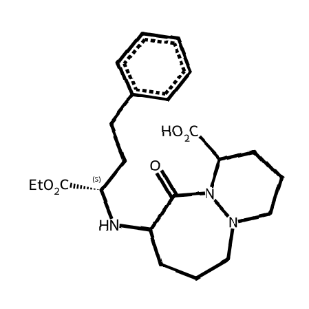 CCOC(=O)[C@H](CCc1ccccc1)NC1CCCN2CCCC(C(=O)O)N2C1=O